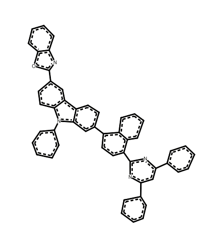 c1ccc(-c2cc(-c3ccccc3)nc(-c3ccc(-c4ccc5c6cc(-c7nc8ccccc8o7)ccc6n(-c6ccccc6)c5c4)c4ccccc34)n2)cc1